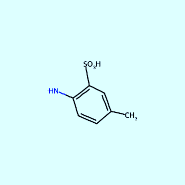 Cc1ccc([NH])c(S(=O)(=O)O)c1